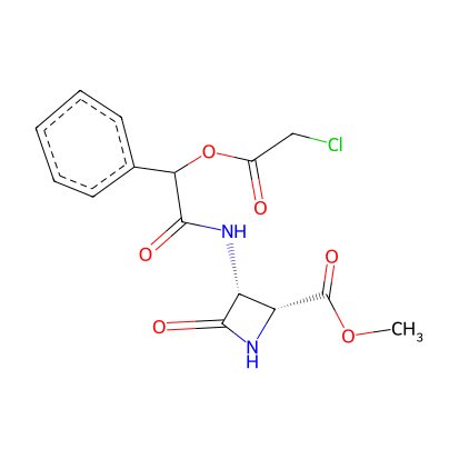 COC(=O)[C@@H]1NC(=O)[C@@H]1NC(=O)C(OC(=O)CCl)c1ccccc1